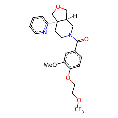 COc1cc(C(=O)N2CC[C@@]3(c4ccccn4)COC[C@H]3C2)ccc1OCCOC(F)(F)F